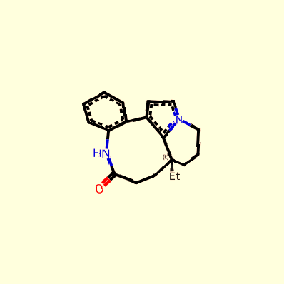 CC[C@]12CCCn3ccc(c31)-c1ccccc1NC(=O)CC2